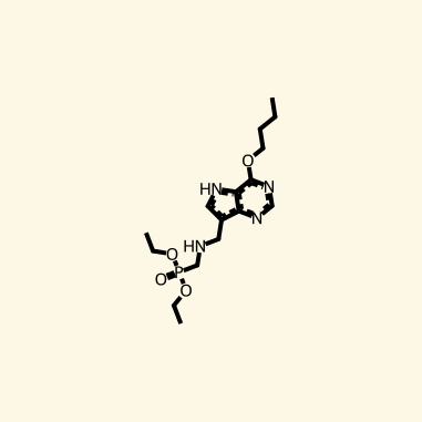 CCCCOc1ncnc2c(CNCP(=O)(OCC)OCC)c[nH]c12